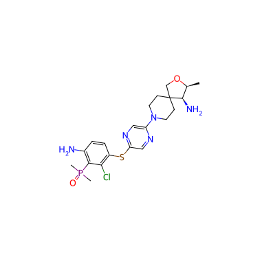 C[C@@H]1OCC2(CCN(c3cnc(Sc4ccc(N)c(P(C)(C)=O)c4Cl)cn3)CC2)[C@@H]1N